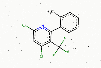 Cc1ccccc1-c1nc(Cl)cc(Cl)c1C(F)(F)F